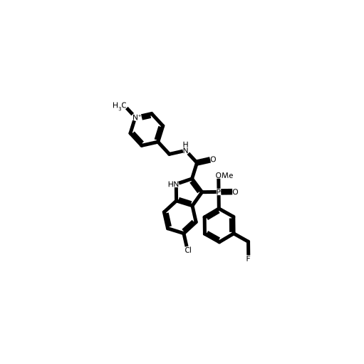 COP(=O)(c1cccc(CF)c1)c1c(C(=O)NCc2cc[n+](C)cc2)[nH]c2ccc(Cl)cc12